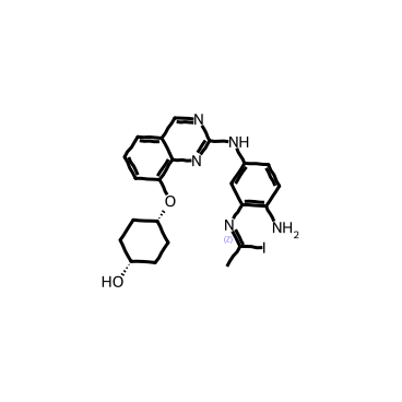 C/C(I)=N/c1cc(Nc2ncc3cccc(O[C@H]4CC[C@@H](O)CC4)c3n2)ccc1N